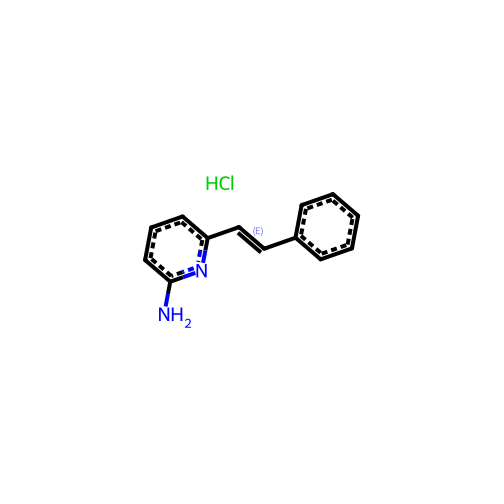 Cl.Nc1cccc(/C=C/c2ccccc2)n1